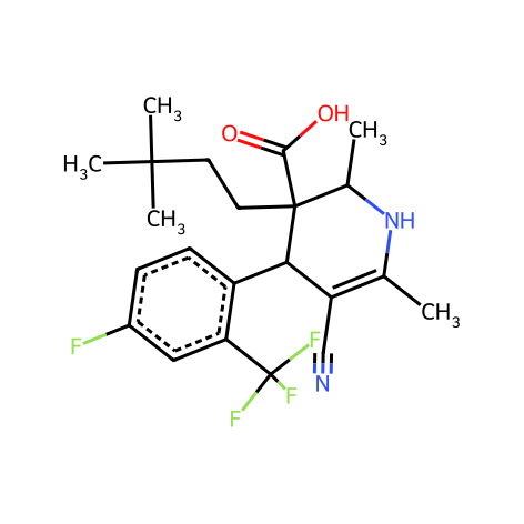 CC1=C(C#N)C(c2ccc(F)cc2C(F)(F)F)C(CCC(C)(C)C)(C(=O)O)C(C)N1